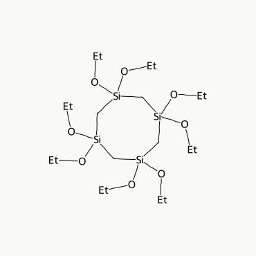 CCO[Si]1(OCC)C[Si](OCC)(OCC)C[Si](OCC)(OCC)C[Si](OCC)(OCC)C1